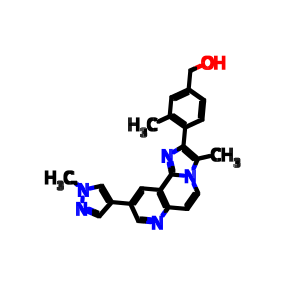 Cc1cc(CO)ccc1-c1nc2c3cc(-c4cnn(C)c4)cnc3ccn2c1C